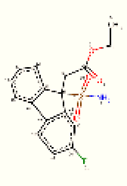 CCOC(=O)CC1(S(N)(=O)=O)c2ccccc2-c2ccc(F)cc21